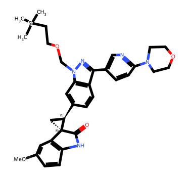 COc1ccc2c(c1)[C@]1(C[C@H]1c1ccc3c(-c4ccc(N5CCOCC5)nc4)nn(COCC[Si](C)(C)C)c3c1)C(=O)N2